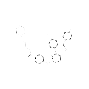 CN1CCN(CCCNC(=O)c2ccc(Nc3ncc4c(n3)-c3ccc(Cl)cc3C(c3ccc(F)cc3)=NC4)cc2)CC1